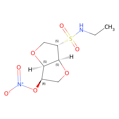 CCNS(=O)(=O)[C@H]1CO[C@H]2[C@@H]1OC[C@H]2O[N+](=O)[O-]